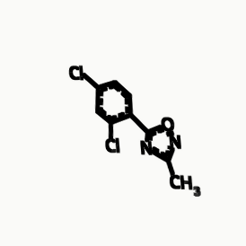 Cc1noc(-c2ccc(Cl)cc2Cl)n1